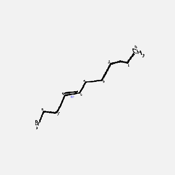 CCCCC/C=C/CCBr